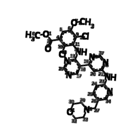 COC(=O)c1cc(OC)c(Cl)c(Nc2ncncc2-c2cc(Nc3ccc(CN4CCOCC4)cn3)ncn2)c1Cl